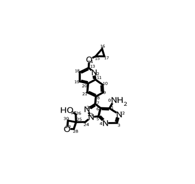 Nc1ncnc2c1c(-c1ccc3nc(OC4CC4)ccc3c1)nn2CC1(CO)COC1